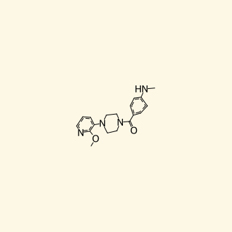 CNc1ccc(C(=O)N2CCN(c3cccnc3OC)CC2)cc1